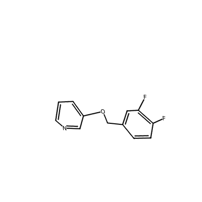 Fc1ccc(COc2cccnc2)cc1F